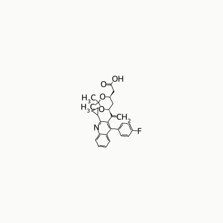 C=C(c1c(C2CC2)nc2ccccc2c1-c1ccc(F)cc1)[C@@H]1C[C@H](CC(=O)O)OC(C)(C)O1